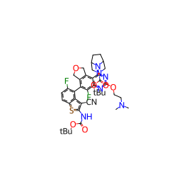 CN(C)CCOc1nc(N2C3CCC2CN(C(=O)OC(C)(C)C)C3)c2c3c(c(-c4c(F)ccc5sc(NC(=O)OC(C)(C)C)c(C#N)c45)c(F)c2n1)COC3